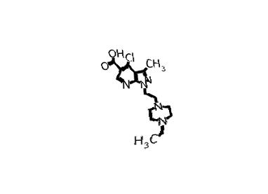 CCN1CCN(CCn2nc(C)c3c(Cl)c(C(=O)O)cnc32)CC1